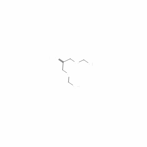 C=C(COCC)COCC